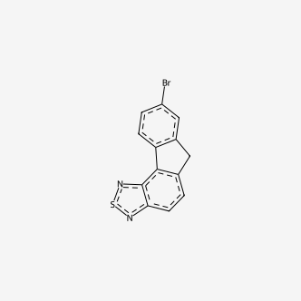 Brc1ccc2c(c1)Cc1ccc3nsnc3c1-2